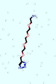 NCCOCCOCCOCCOCc1c[nH]nn1